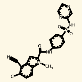 Cn1c(C(=O)Nc2ccc(S(=O)(=O)Nc3cnccn3)cc2)cc2c(C#N)c(Cl)ccc21